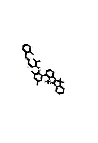 CC(C)=C(/C=C\C=C\c1ccccc1C)Sc1c(C)cc(C)cc1-c1cccc2c3c([nH]c12)-c1ccccc1C3(C)C